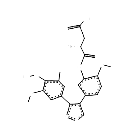 COc1ccc(-c2csnc2-c2cc(C)c(OC)c(OC)c2)cc1NC(=O)[C@H](N)CC(N)=O